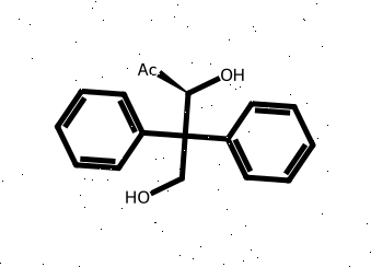 CC(=O)[C@@H](O)C(CO)(c1ccccc1)c1ccccc1